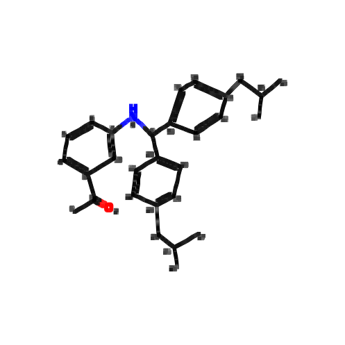 CC(=O)c1cccc(NC(c2ccc(CC(C)C)cc2)c2ccc(CC(C)C)cc2)c1